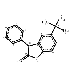 CC(C)(C)C(C)(C)c1ccc2c(c1)C(c1ccccc1)C(=O)O2